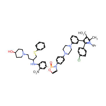 Cc1c(C(=O)O)c(-c2cccc(N3CCN(c4ccc(N5C=CO[P@]5(=O)c5ccc(NC(CCN6CCC(O)CC6)CSc6ccccc6)c([N+](=O)[O-])c5)cc4)CC3)c2)c(-c2ccc(Cl)cc2)n1C(C)C